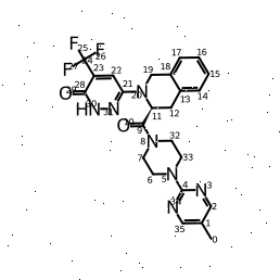 Cc1cnc(N2CCN(C(=O)[C@@H]3Cc4ccccc4CN3c3cc(C(F)(F)F)c(=O)[nH]n3)CC2)nc1